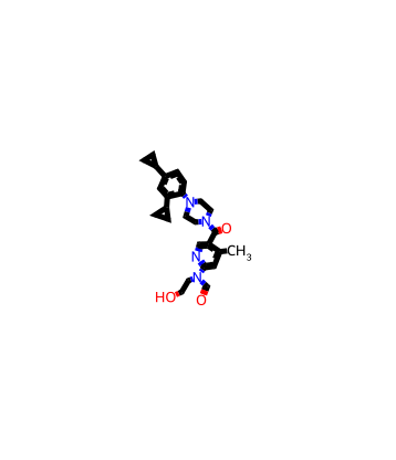 Cc1cc(N(C=O)CCO)ncc1C(=O)N1CCN(c2ccc(C3CC3)cc2C2CC2)CC1